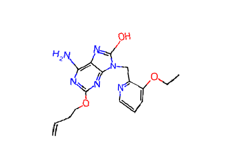 C=CCCOc1nc(N)c2nc(O)n(Cc3ncccc3OCC)c2n1